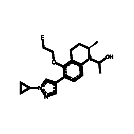 CC(O)N1c2ccc(-c3cnn(C4CC4)c3)c(OCCF)c2CC[C@@H]1C